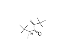 C=C(C(=O)[C@H](C)C(C)(C)C)C(C)(C)C